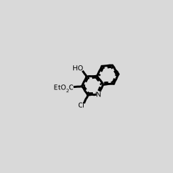 CCOC(=O)c1c(Cl)nc2ccccc2c1O